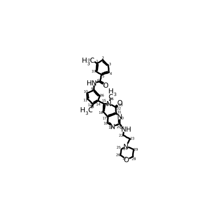 Cc1cccc(C(=O)Nc2ccc(C)c(-c3cc4cnc(NCCN5CCOCC5)nc4c(=O)n3C)c2)c1